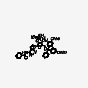 COc1ccc(C(OC[C@H]2O[C@@H](n3ccc4c(NC(=O)c5ccccc5)ncnc43)[C@@H](O[Si](C)(C)C(C)(C)C)C2O)(c2ccccc2)c2ccc(OC)cc2)cc1